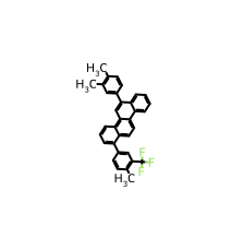 Cc1ccc(-c2cc3c4cccc(-c5ccc(C)c(C(F)(F)F)c5)c4ccc3c3ccccc23)cc1C